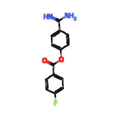 N=C(N)c1ccc(OC(=O)c2ccc(F)cc2)cc1